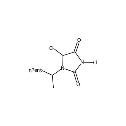 CCCCCC(C)N1C(=O)N(Cl)C(=O)C1Cl